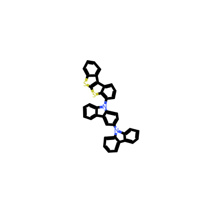 c1ccc2c(c1)sc1sc3c(-n4c5ccccc5c5cc(-n6c7ccccc7c7ccccc76)ccc54)cccc3c12